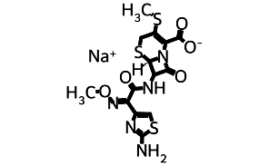 CO/N=C(\C(=O)NC1C(=O)N2C(C(=O)[O-])=C(SC)CS[C@H]12)c1csc(N)n1.[Na+]